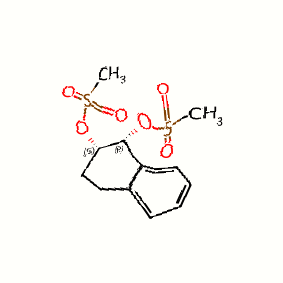 CS(=O)(=O)O[C@H]1CCc2ccccc2[C@H]1OS(C)(=O)=O